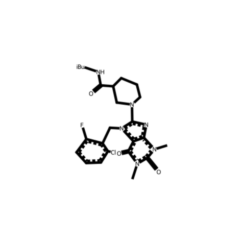 CCC(C)NC(=O)C1CCCN(c2nc3c(c(=O)n(C)c(=O)n3C)n2Cc2c(F)cccc2Cl)C1